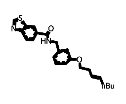 CCCCC=CCCOc1cccc(CNC(=O)c2ccc3ncsc3c2)c1